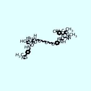 Cc1ncsc1-c1ccc(CNC(=O)[C@@H]2C[C@@H](O)CN2C(=O)C(NC(=O)COCCCOCCCOc2ccc(NC(=O)C[C@@H]3N=C(c4ccc(Cl)cc4)c4c(sc(C)c4C)-n4c(C)nnc43)c(F)c2)C(C)(C)C)cc1